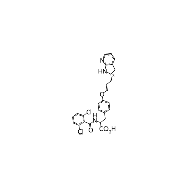 O=C(NC(Cc1ccc(OCCC[C@@H]2Cc3cccnc3N2)cc1)C(=O)O)c1c(Cl)cccc1Cl